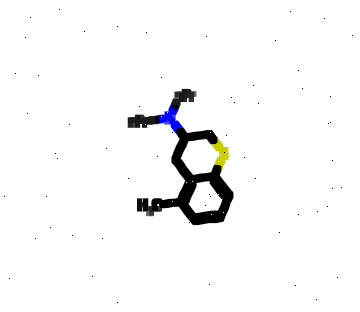 CCCN(CCC)C1CSc2cccc(C)c2C1